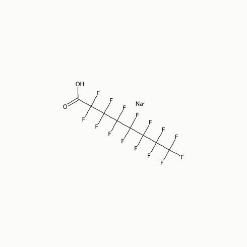 O=C(O)C(F)(F)C(F)(F)C(F)(F)C(F)(F)C(F)(F)C(F)(F)C(F)(F)F.[Na]